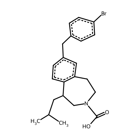 CC(C)CC1CN(C(=O)O)CCc2cc(Cc3ccc(Br)cc3)ccc21